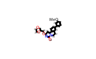 COc1cccc(-c2ccc3c(c2)CCn2c-3cc(OCC3COCCO3)nc2=O)c1